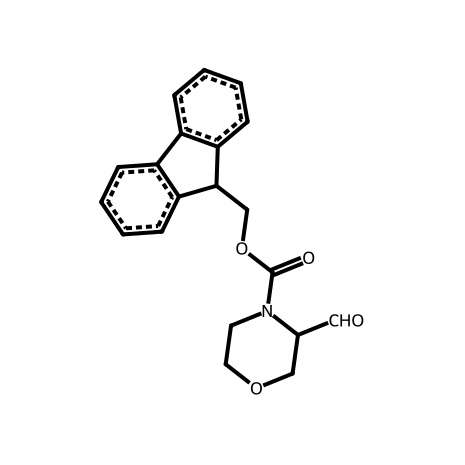 O=CC1COCCN1C(=O)OCC1c2ccccc2-c2ccccc21